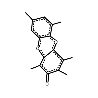 Cc1cc(C)c2nc3c(C)c(C)c(=O)c(C)c-3oc2c1